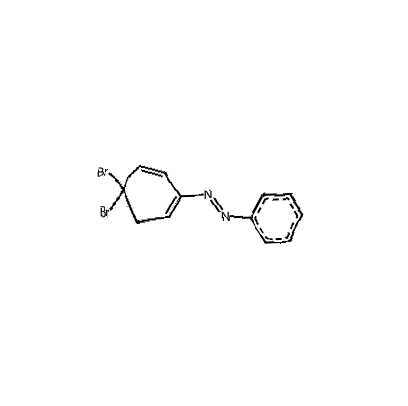 BrC1(Br)C=CC(N=Nc2ccccc2)=CC1